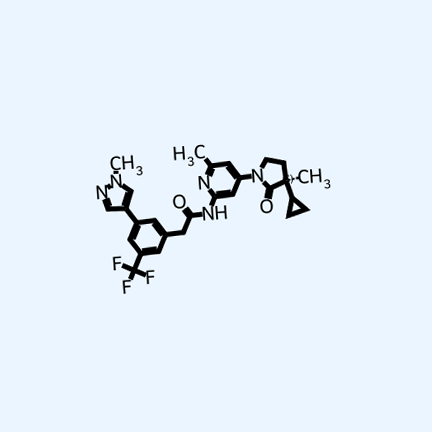 Cc1cc(N2CC[C@@](C)(C3CC3)C2=O)cc(NC(=O)Cc2cc(-c3cnn(C)c3)cc(C(F)(F)F)c2)n1